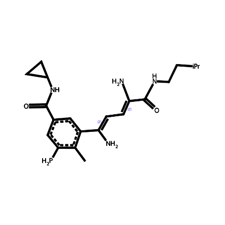 Cc1c(P)cc(C(=O)NC2CC2)cc1/C(N)=C/C=C(\N)C(=O)NCCC(C)C